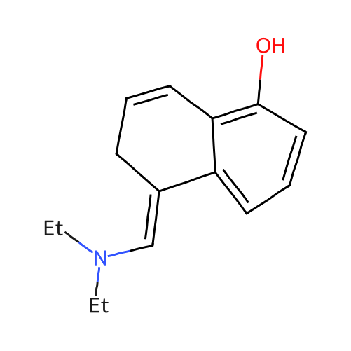 CCN(C=C1CC=Cc2c(O)cccc21)CC